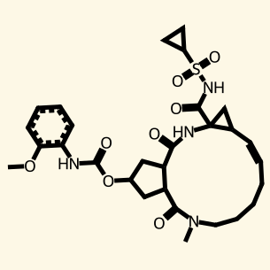 COc1ccccc1NC(=O)OC1CC2C(=O)NC3(C(=O)NS(=O)(=O)C4CC4)CC3C=CCCCCN(C)C(=O)C2C1